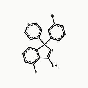 NC1=NC(c2ccncc2)(c2cccc(Br)c2)c2cccc(F)c21